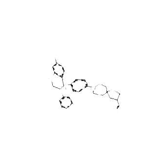 O=CC1COC2(CCN(c3ccc([C@@H]4c5ccc(O)cc5OC[C@@H]4c4ccccc4)cc3)CC2)C1